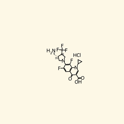 Cl.NC[C@H]1CN(c2c(F)cc3c(=O)c(C(=O)O)cn(C4CC4)c3c2F)C[C@@H]1C(F)(F)F